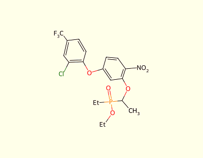 CCOP(=O)(CC)C(C)Oc1cc(Oc2ccc(C(F)(F)F)cc2Cl)ccc1[N+](=O)[O-]